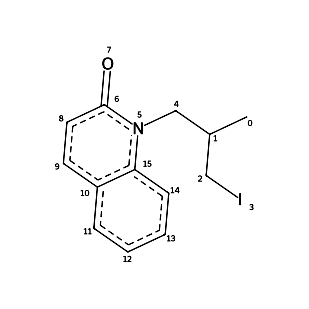 CC(CI)Cn1c(=O)ccc2ccccc21